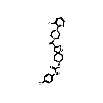 O=C(Nc1ccc(Cl)cc1)ON1CCC2(CC1)CC(C(=O)N1CCN(c3ncccc3Cl)CC1)=NO2